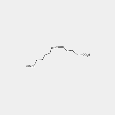 CCCCCCCCCCCC=C=CCCCC(=O)O